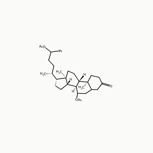 CC(=O)OC(CC[C@@H](C)[C@H]1CC[C@H]2[C@@H]3C(OC(C)=O)CC4CC(=O)CC[C@]4(C)[C@H]3CC[C@]12C)C(C)C